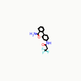 NC(=O)c1ccccc1-c1ccc(NC(=O)CC(F)(F)F)cc1